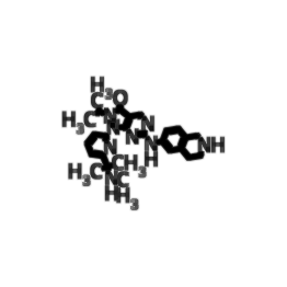 CNC(C)(C)c1cccc(-n2c3nc(Nc4ccc5c(c4)CCNC5)ncc3c(=O)n2C(C)C)n1